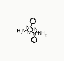 Nc1nc(-c2ccccc2)c2nc(N)n(-c3ccccc3)c2n1